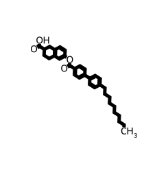 CCCCCCCCCCc1ccc(-c2ccc(C(=O)Oc3ccc4c(c3)CCC(C(=O)O)C4)cc2)cc1